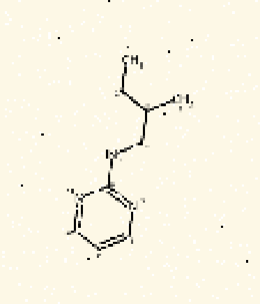 CCC(C)CNc1ncccn1